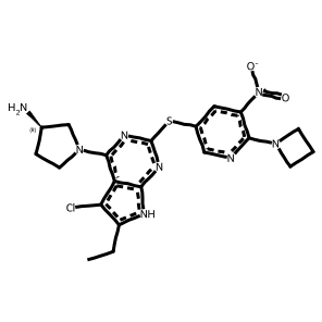 CCc1[nH]c2nc(Sc3cnc(N4CCC4)c([N+](=O)[O-])c3)nc(N3CC[C@@H](N)C3)c2c1Cl